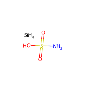 NS(=O)(=O)O.[SiH4]